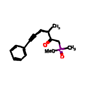 COP(C)(=O)CC(=O)C(C)CC#Cc1ccccc1